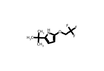 CC(C)(C)c1ccc(OCC(F)(F)F)[nH]1